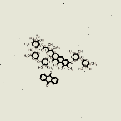 CO[C@H](C(=O)[C@@H](O)[C@@H](C)O)[C@@H]1Cc2cc3cc(O[C@H]4C[C@@H](O[C@H]5C[C@@H](O)[C@H](O)[C@@H](C)O5)[C@H](O)[C@@H](C)O4)c(C)c(O)c3c(O)c2C(=O)[C@H]1O[C@H]1C[C@@H](O[C@H]2C[C@@H](O[C@H]3C[C@](C)(O)[C@H](O)[C@@H](C)O3)[C@@H](O)[C@@H](C)O2)[C@H](O)[C@@H](C)O1.O=C1c2ccccc2C(=O)c2ccccc21